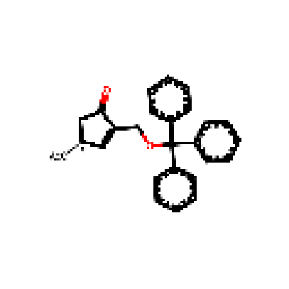 CC(=O)O[C@H]1C=C(COC(c2ccccc2)(c2ccccc2)c2ccccc2)C(=O)C1